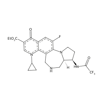 CCOC(=O)c1cn(C2CC2)c2c3c(c(F)cc2c1=O)N1CC[C@@H](NC(=O)C(F)(F)F)[C@H]1CNC3